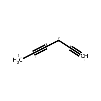 C#C[CH]C#CC